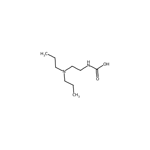 CCCN(CCC)CCNC(=O)O